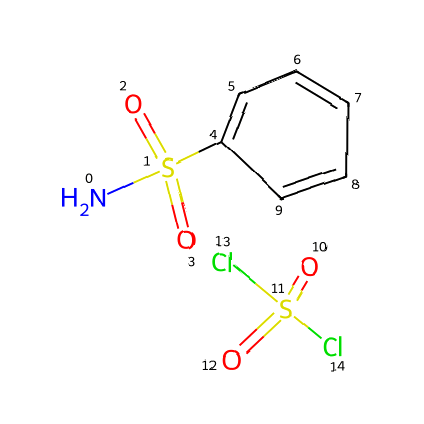 NS(=O)(=O)c1ccccc1.O=S(=O)(Cl)Cl